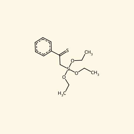 CCO[Si](CC(=S)c1ccccc1)(OCC)OCC